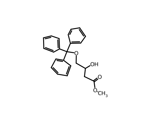 COC(=O)CC(O)COC(c1ccccc1)(c1ccccc1)c1ccccc1